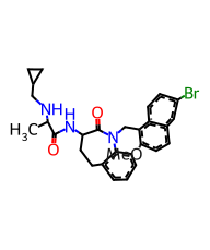 COc1ccc2cc(Br)ccc2c1CN1C(=O)C(NC(=O)C(C)NCC2CC2)CCc2ccccc21